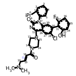 CC(C)c1ccccc1-n1c(=O)nc(N2CCN(C(=O)/C=C/CN(C)C)CC2)c2cc(Cl)c(-c3c(O)cccc3F)cc21